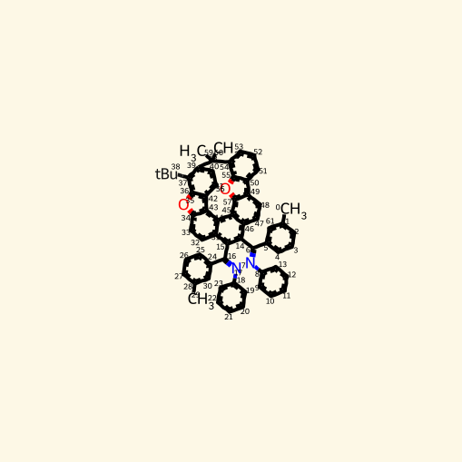 Cc1cccc(/C(=N\c2ccccc2)c2c(/C(=N/c3ccccc3)c3cccc(C)c3)c3ccc4oc5c(C(C)(C)C)c6ccc5c4c3c3c2ccc2c4cccc(c4oc23)C6(C)C)c1